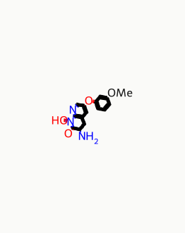 COc1cccc(Oc2cnc3c(c2)C[C@H](N)C(=O)N3O)c1